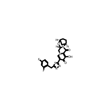 O=C1c2c(O)c(=O)c(-c3nnc(Cc4ccc(F)cc4F)s3)cn2C[C@@H]2O[C@H]3CC[C@H](C3)N12